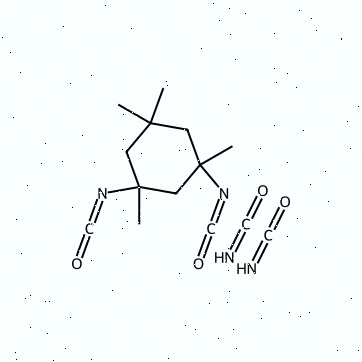 CC1(C)CC(C)(N=C=O)CC(C)(N=C=O)C1.N=C=O.N=C=O